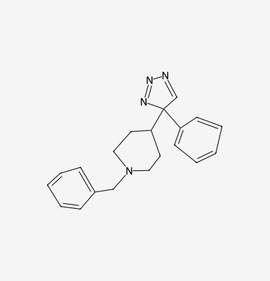 C1=NN=NC1(c1ccccc1)C1CCN(Cc2ccccc2)CC1